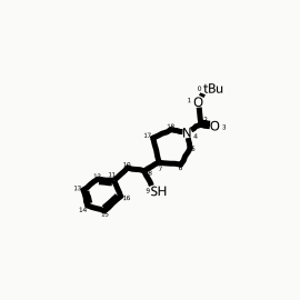 CC(C)(C)OC(=O)N1CCC(C(S)Cc2ccccc2)CC1